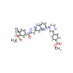 COC(=O)c1ccc(C2CCCN(c3ccc4cnc(CNC(=O)c5ccc(C)c(S(C)(=O)=O)c5)cc4n3)C2)cc1